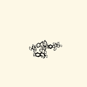 CNC(=O)C(C)Oc1cc2cc(Nc3nc(N4CCC(CN5CCN(c6ccc7c(c6)C(=O)N(C6CCC(=O)NC6=O)C7=O)CC5)CC4)ncc3Cl)ccc2n(C)c1=O